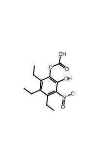 CCc1c(CC)c(OC(=O)O)c(O)c([N+](=O)[O-])c1CC